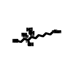 CCCCCCCCCCCCCC[C@@H](O)[C@@H](O)[C@@H](N)CO.Cl